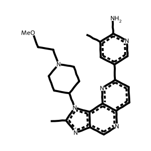 COCCN1CCC(n2c(C)nc3cnc4ccc(-c5cnc(N)c(C)c5)nc4c32)CC1